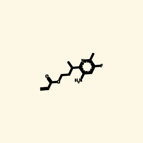 C=CC(=O)OCCC(C)c1nc(C)c(F)cc1N